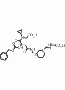 CCOC(=O)NN=CN1CCC[C@@H](CNC(=O)C[C@H](NC(=O)OCc2ccccc2)C(=O)N(CC(=O)O)C2CC2)C1